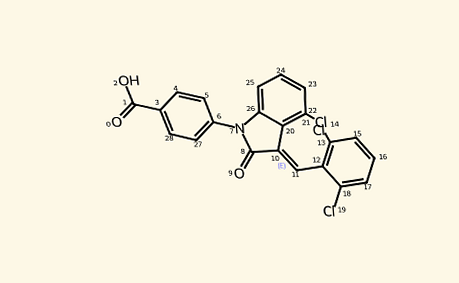 O=C(O)c1ccc(N2C(=O)/C(=C/c3c(Cl)cccc3Cl)c3c(Cl)cccc32)cc1